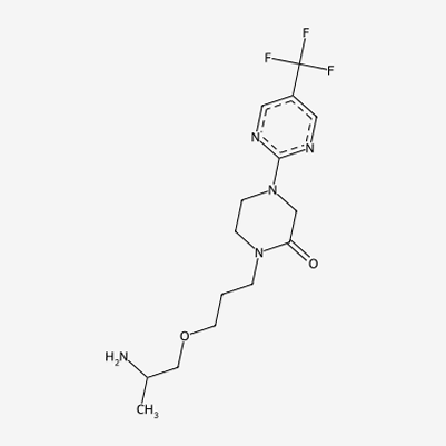 CC(N)COCCCN1CCN(c2ncc(C(F)(F)F)cn2)CC1=O